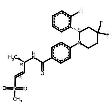 C[C@H](/C=C/S(C)(=O)=O)NC(=O)c1ccc(N2CCC(F)(F)C[C@H]2c2ccccc2Cl)cc1